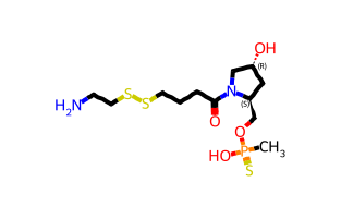 CP(O)(=S)OC[C@@H]1C[C@@H](O)CN1C(=O)CCCSSCCN